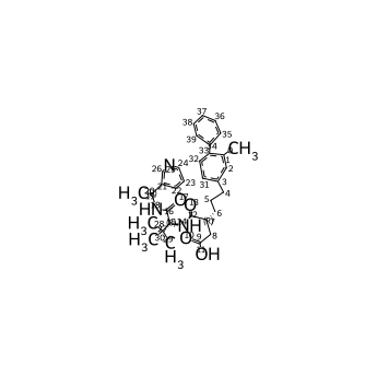 Cc1cc(CCC[C@H](CC(=O)O)C(=O)N[C@H](C(=O)N[C@H](C)c2cccnc2)C(C)(C)C)ccc1-c1ccccc1